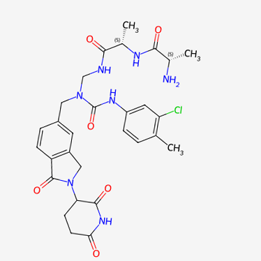 Cc1ccc(NC(=O)N(CNC(=O)[C@H](C)NC(=O)[C@H](C)N)Cc2ccc3c(c2)CN(C2CCC(=O)NC2=O)C3=O)cc1Cl